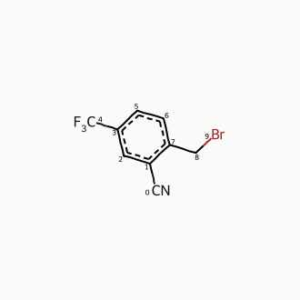 N#Cc1cc(C(F)(F)F)ccc1CBr